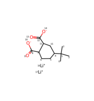 CC(C)(C)C1CCC(C(=O)[O-])C(C(=O)[O-])C1.[Li+].[Li+]